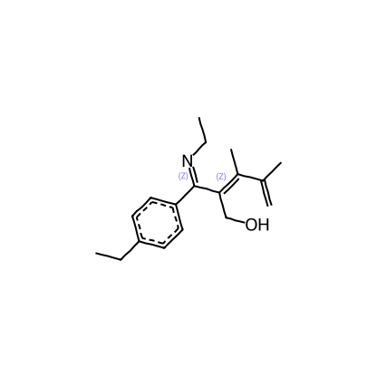 C=C(C)/C(C)=C(CO)/C(=N\CC)c1ccc(CC)cc1